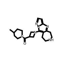 CC1CCN(C(=O)C2CN(c3c4c(nc5ccnn35)CCNCC4)C2)CC1